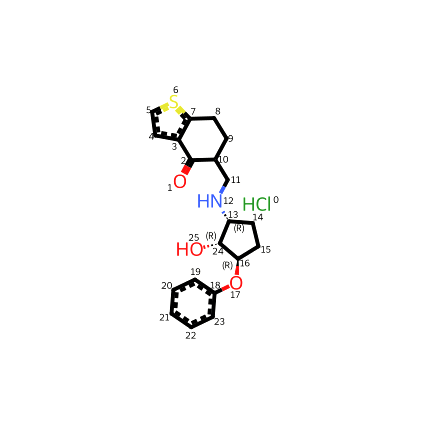 Cl.O=C1c2ccsc2CCC1CN[C@@H]1CC[C@@H](Oc2ccccc2)[C@@H]1O